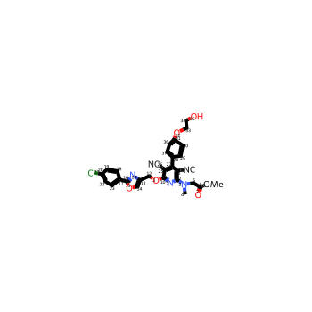 [C-]#[N+]c1c(N(C)CC(=O)OC)nc(OCc2coc(-c3ccc(Cl)cc3)n2)c(C#N)c1-c1ccc(OCCO)cc1